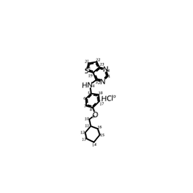 Cl.c1nc(Nc2ccc(OCC3CCCCC3)cc2)c2sccc2n1